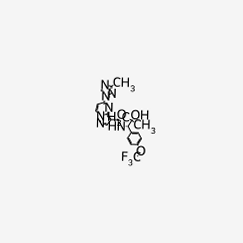 Cc1ncn(-c2ccn3ncc(C(=O)N[C@@H](c4ccc(OC(F)(F)F)cc4)C(C)(C)O)c3n2)n1